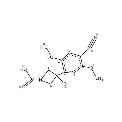 COc1cc(C2(O)CN(C(=O)O)C2)c(OC)cc1C#N